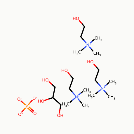 C[N+](C)(C)CCO.C[N+](C)(C)CCO.C[N+](C)(C)CCO.O=P([O-])([O-])[O-].OCC(O)CO